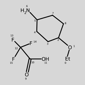 CCOC1CCC(N)CC1.O=C(O)C(F)(F)F